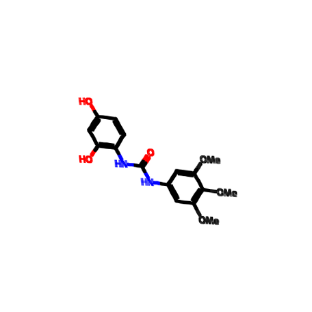 COc1cc(NC(=O)Nc2ccc(O)cc2O)cc(OC)c1OC